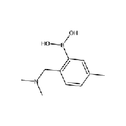 Cc1ccc(CN(C)C)c(B(O)O)c1